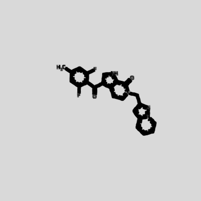 Cc1cc(F)c(C(=O)c2c[nH]c3c(=O)n(Cc4cc5ccccn5n4)ccc23)c(F)c1